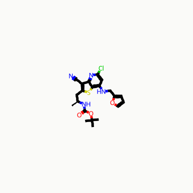 C[C@@H](Cc1sc2c(NCc3ccco3)cc(Cl)nc2c1C#N)NC(=O)OC(C)(C)C